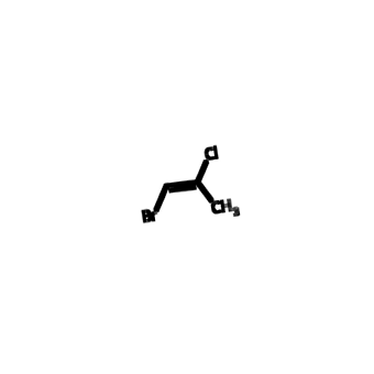 C/C(Cl)=C\Br